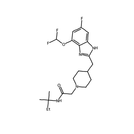 CCC(C)(C)NC(=O)CN1CCC(Cc2nc3c(OC(F)F)cc(F)cc3[nH]2)CC1